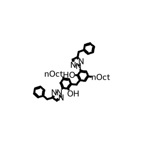 CCCCCCCCc1cc(Cc2cc(CCCCCCCC)cc(-n3ncc(Cc4ccccc4)n3)c2O)c(O)c(-n2ncc(Cc3ccccc3)n2)c1